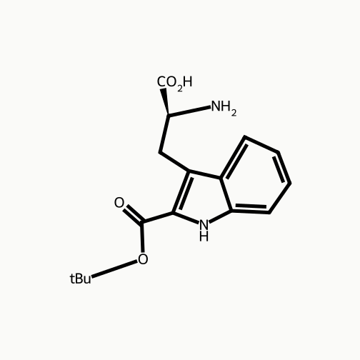 CC(C)(C)OC(=O)c1[nH]c2ccccc2c1C[C@H](N)C(=O)O